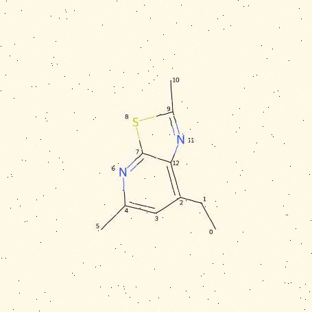 CCc1cc(C)nc2sc(C)nc12